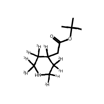 [2H]C1([2H])NC([2H])([2H])C([2H])([2H])C([2H])(CC(=O)OC(C)(C)C)C1([2H])[2H]